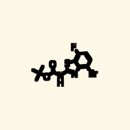 CC(C)(C)OC(=O)Nc1nc2c(Br)ccc(F)c2s1